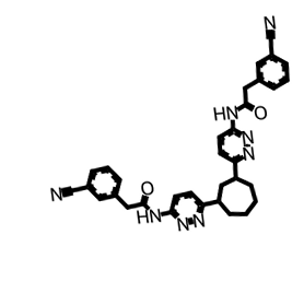 N#Cc1cccc(CC(=O)Nc2ccc(C3CCCCC(c4ccc(NC(=O)Cc5cccc(C#N)c5)nn4)C3)nn2)c1